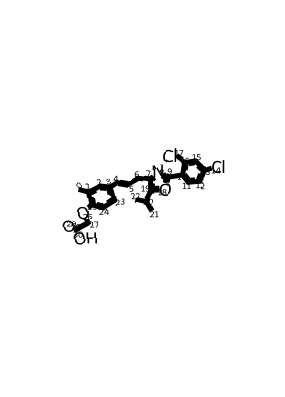 Cc1cc(/C=C/Cc2nc(-c3ccc(Cl)cc3Cl)oc2C(C)C)ccc1OCC(=O)O